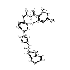 Cc1cc(C)c(C(=O)NC(Cc2ccc(-n3cc(CNc4nc5ccccc5[nH]4)cn3)cc2)C(=O)O)c(C)c1